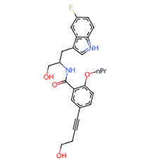 CCCOc1ccc(C#CCCO)cc1C(=O)NC(CO)Cc1c[nH]c2ccc(F)cc12